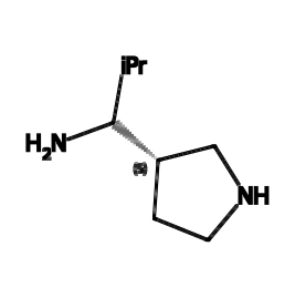 CC(C)C(N)[C@H]1CCNC1